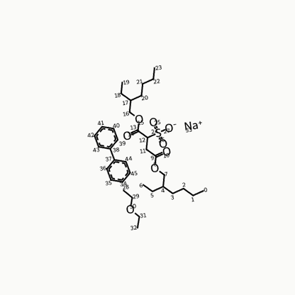 CCCCC(CC)COC(=O)CC(C(=O)OCC(CC)CCCC)S(=O)(=O)[O-].CCOCC.[Na+].c1ccc(-c2ccccc2)cc1